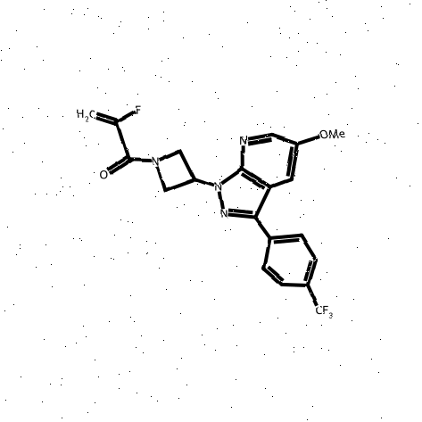 C=C(F)C(=O)N1CC(n2nc(-c3ccc(C(F)(F)F)cc3)c3cc(OC)cnc32)C1